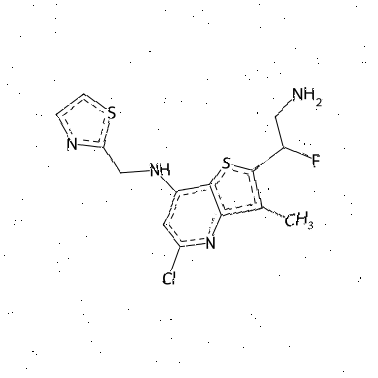 Cc1c(C(F)CN)sc2c(NCc3nccs3)cc(Cl)nc12